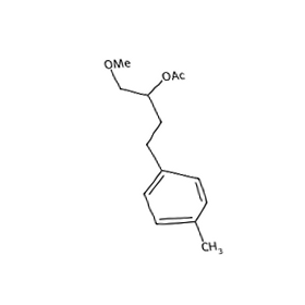 COCC(CCc1ccc(C)cc1)OC(C)=O